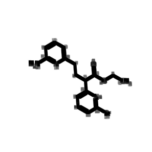 CCOC(=O)C(CCc1cccc(N)n1)c1cccc(Br)n1